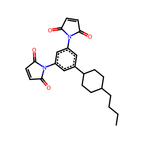 CCCCC1CCC(c2cc(N3C(=O)C=CC3=O)cc(N3C(=O)C=CC3=O)c2)CC1